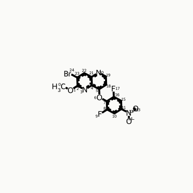 COc1nc2c(Oc3c(F)cc([N+](=O)[O-])cc3F)ccnc2cc1Br